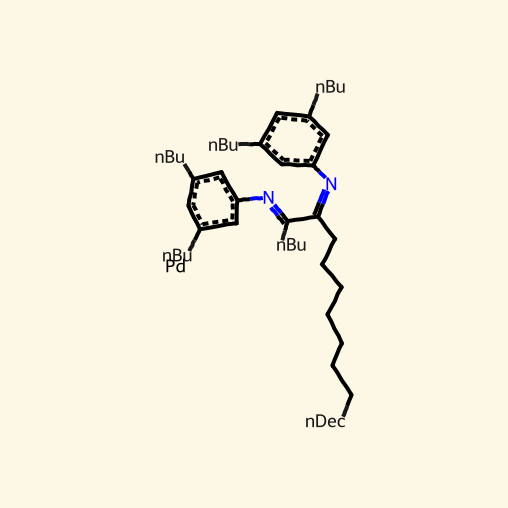 CCCCCCCCCCCCCCCCCC(=Nc1cc(CCCC)cc(CCCC)c1)C(CCCC)=Nc1cc(CCCC)cc(CCCC)c1.[Pd]